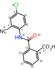 N#Cc1cc(Cl)ccc1NC(=O)c1ccccc1C(=O)O